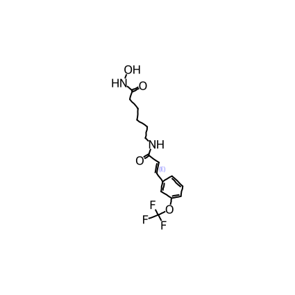 O=C(/C=C/c1cccc(OC(F)(F)F)c1)NCCCCCC(=O)NO